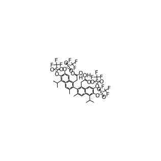 Cc1cc2c(C(C)C)c(OS(=O)(=O)C(F)(F)F)c(OS(=O)(=O)C(F)(F)F)cc2c(CC(=O)O)c1-c1c(C)cc2c(C(C)C)c(OS(=O)(=O)C(F)(F)F)c(OS(=O)(=O)C(F)(F)F)cc2c1CC(=O)O